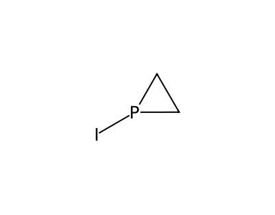 IP1CC1